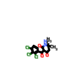 CC1(C)CC(=O)C(C(=O)c2ccc(Cl)c(Cl)c2Cl)C(=O)N1